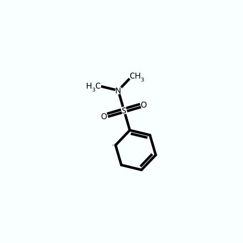 CN(C)S(=O)(=O)C1=CC=CC[CH]1